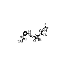 CCn1c(=C=C(C#N)C(=O)NCC(F)F)sc(=C=CNc2cccc(N(C)C(=O)C(C)(C)C)c2)c1=O